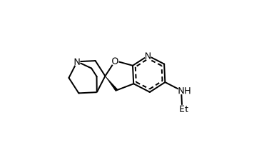 CCNc1cnc2c(c1)C[C@@]1(CN3CCC1CC3)O2